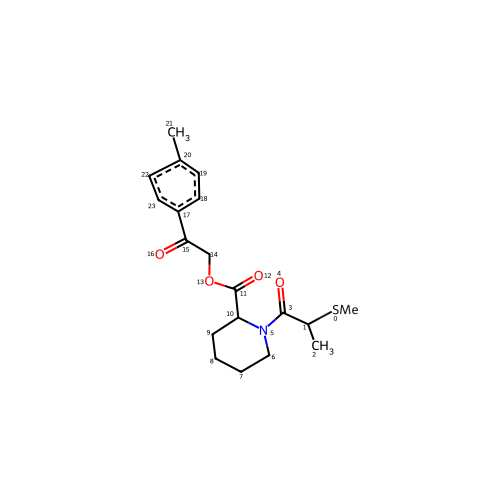 CSC(C)C(=O)N1CCCCC1C(=O)OCC(=O)c1ccc(C)cc1